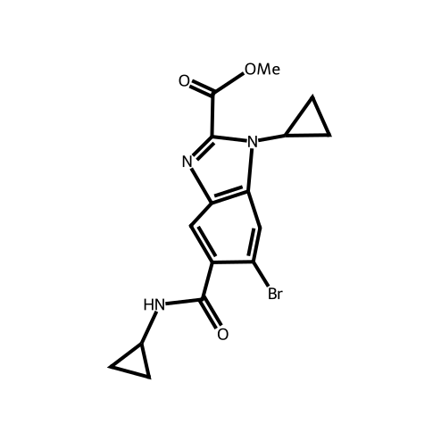 COC(=O)c1nc2cc(C(=O)NC3CC3)c(Br)cc2n1C1CC1